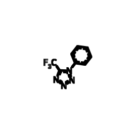 FC(F)(F)c1nnnn1-c1ccccc1